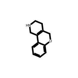 c1ccc2c(c1)OCC1=C2CNCC1